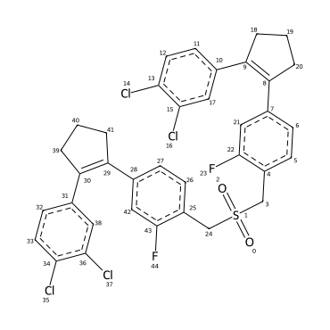 O=S(=O)(Cc1ccc(C2=C(c3ccc(Cl)c(Cl)c3)CCC2)cc1F)Cc1ccc(C2=C(c3ccc(Cl)c(Cl)c3)CCC2)cc1F